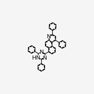 c1ccc(C2=NC(c3cccc4c3ccc3nc(-c5ccccc5)cc(-c5ccccc5)c34)=NC(c3ccccc3)N2)cc1